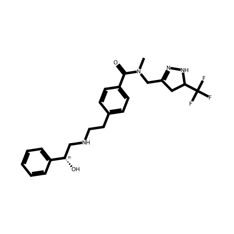 CN(CC1=NNC(C(F)(F)F)C1)C(=O)c1ccc(CCNC[C@H](O)c2ccccc2)cc1